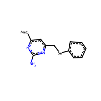 COc1cc(C[Se]c2ccccc2)nc(N)n1